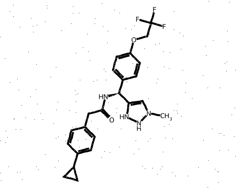 CN1C=C([C@@H](NC(=O)Cc2ccc(C3CC3)cc2)c2ccc(OCC(F)(F)F)cc2)NN1